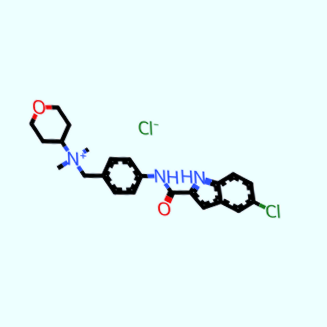 C[N+](C)(Cc1ccc(NC(=O)c2cc3cc(Cl)ccc3[nH]2)cc1)C1CCOCC1.[Cl-]